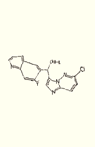 OC(c1cc2cccnc2cc1F)c1cnc2ccc(Cl)nn12